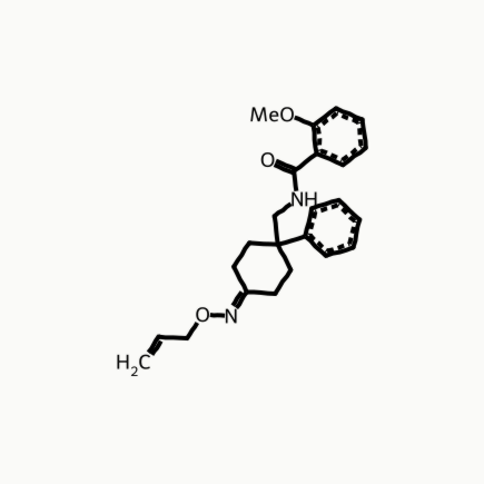 C=CCON=C1CCC(CNC(=O)c2ccccc2OC)(c2ccccc2)CC1